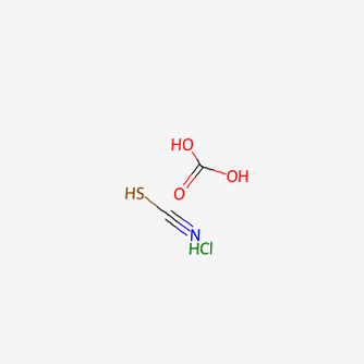 Cl.N#CS.O=C(O)O